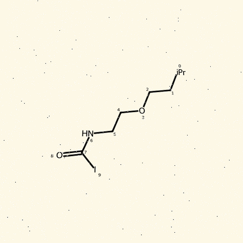 CC(C)CCOCCNC(=O)I